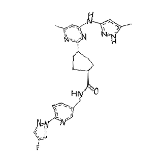 Cc1cc(Nc2cc(C)[nH]n2)nc([C@H]2CC[C@H](C(=O)NCc3ccc(-n4cc(F)cn4)nc3)CC2)n1